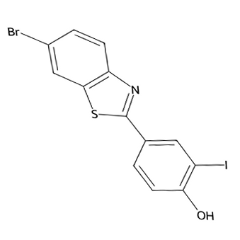 Oc1ccc(-c2nc3ccc(Br)cc3s2)cc1I